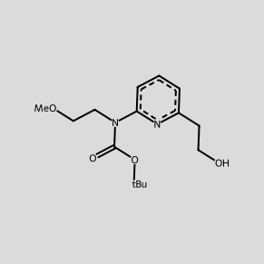 COCCN(C(=O)OC(C)(C)C)c1cccc(CCO)n1